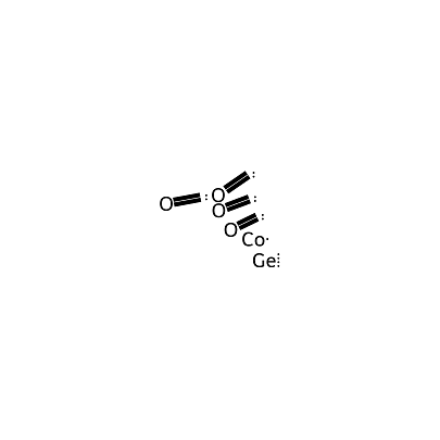 [C]=O.[C]=O.[C]=O.[C]=O.[Co].[Ge]